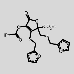 CCOC(=O)C1(CSCc2ccco2)OC(=O)C(OC(=O)C(C)C)=C1SCc1ccco1